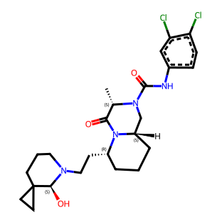 C[C@H]1C(=O)N2[C@@H](CCN3CCCC4(CC4)[C@@H]3O)CCC[C@H]2CN1C(=O)Nc1ccc(Cl)c(Cl)c1